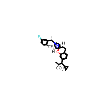 C[C@H](C(=O)O)C(c1ccc2c(c1)OC1(CC2)[C@@H]2CC[C@@H]1CN([C@@H](C)c1cc(F)ccc1C(F)(F)F)C2)C1CC1